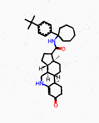 CC(C)(C)c1ccc(C2(NC(=O)C3CC[C@H]4[C@@H]5CNC6=CC(=O)CC[C@]6(C)[C@@H]5CC[C@]34C)CCCCCC2)cc1